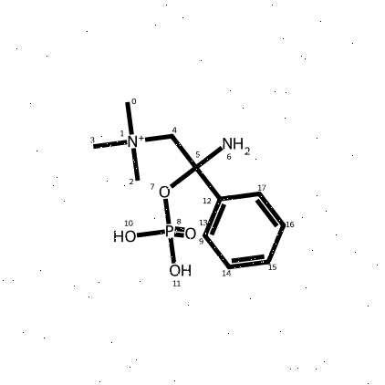 C[N+](C)(C)CC(N)(OP(=O)(O)O)c1ccccc1